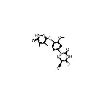 COc1cc(-n2nc(C#N)c(=O)[nH]c2=O)ccc1Oc1n[nH]c(=O)c(C)c1C